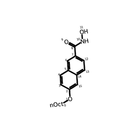 CCCCCCCCOc1ccc2cc(C(=O)NO)ccc2c1